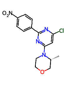 C[C@@H]1COCCN1c1cc(Cl)nc(-c2ccc([N+](=O)[O-])cc2)n1